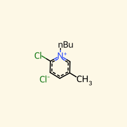 CCCC[n+]1cc(C)ccc1Cl.[Cl-]